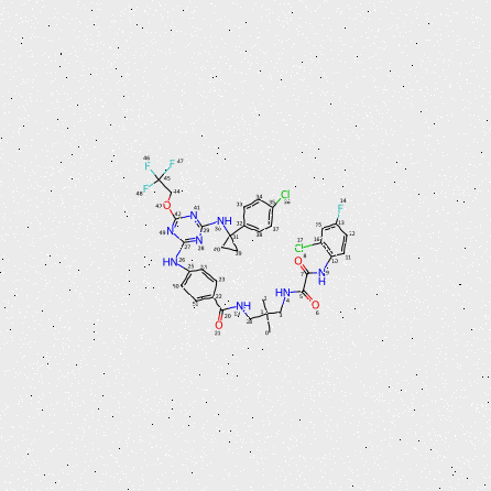 CC(C)(CNC(=O)C(=O)Nc1ccc(F)cc1Cl)CNC(=O)c1ccc(Nc2nc(NC3(c4ccc(Cl)cc4)CC3)nc(OCC(F)(F)F)n2)cc1